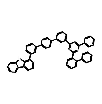 c1ccc(-c2nc(-c3cccc(-c4ccc(-c5cccc(-c6cccc7c6oc6ccccc67)c5)cc4)c3)nc(-c3ccccc3-c3ccccc3)n2)cc1